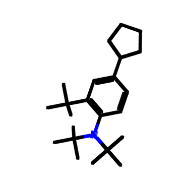 CC(C)(C)c1cc(C2CCCC2)ccc1N(C(C)(C)C)C(C)(C)C